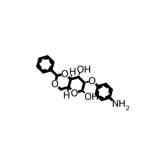 Nc1ccc(O[C@@H]2[C@@H](O)[C@@H]3OC(c4ccccc4)OC[C@H]3O[C@@H]2O)cc1